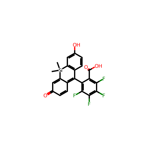 C[Si]1(C)C2=CC(=O)C=CC2=C(c2c(F)c(F)c(F)c(F)c2C(=O)O)c2ccc(O)cc21